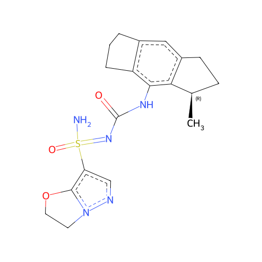 C[C@@H]1CCc2cc3c(c(NC(=O)N=S(N)(=O)c4cnn5c4OCC5)c21)CCC3